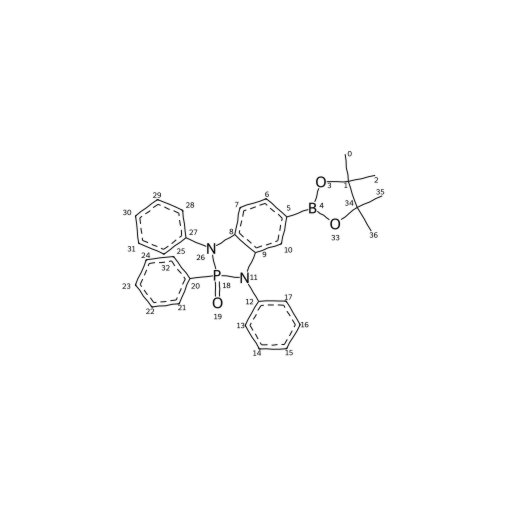 CC1(C)OB(c2ccc3c(c2)N(c2ccccc2)P(=O)(c2ccccc2)N3c2ccccc2)OC1(C)C